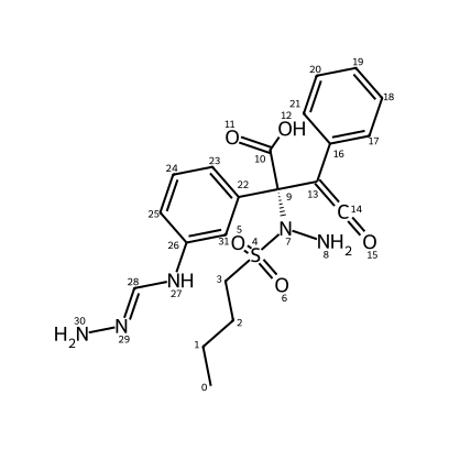 CCCCS(=O)(=O)N(N)[C@](C(=O)O)(C(=C=O)c1ccccc1)c1cccc(NC=NN)c1